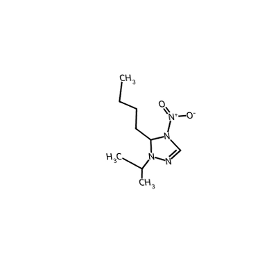 CCCCC1N(C(C)C)N=CN1[N+](=O)[O-]